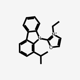 CC[n+]1ccoc1-n1c2ccccc2c2cccc(C(C)C)c21